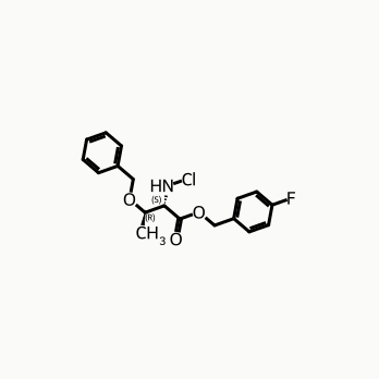 C[C@@H](OCc1ccccc1)[C@H](NCl)C(=O)OCc1ccc(F)cc1